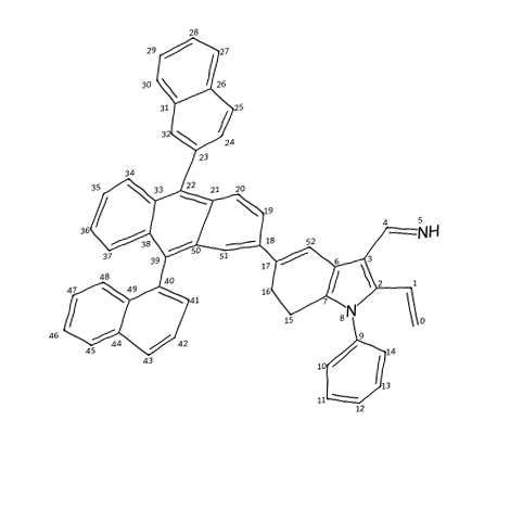 C=Cc1c(C=N)c2c(n1-c1ccccc1)CCC(c1ccc3c(-c4ccc5ccccc5c4)c4ccccc4c(-c4cccc5ccccc45)c3c1)=C2